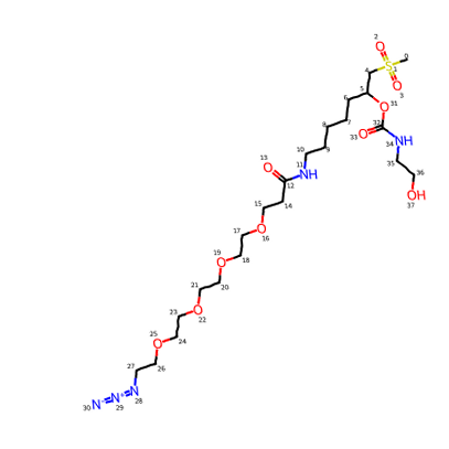 CS(=O)(=O)CC(CCCCCNC(=O)CCOCCOCCOCCOCCN=[N+]=[N-])OC(=O)NCCO